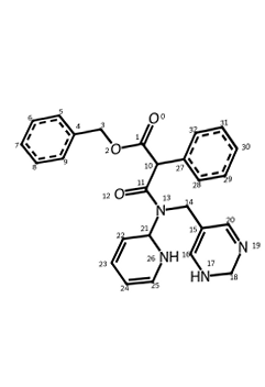 O=C(OCc1ccccc1)C(C(=O)N(CC1=CNCN=C1)C1C=CC=CN1)c1ccccc1